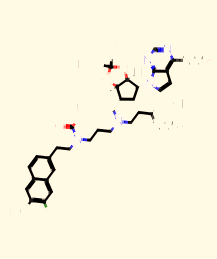 CCOC(=O)[C@H](CCN(CCCN(CCc1ccc2cc(C)c(Cl)cc2c1)C(=O)OC(C)(C)C)C[C@H]1C[C@@H](n2ccc3c(NC)ncnc32)[C@@H]2OC(C)(C)O[C@H]12)NC